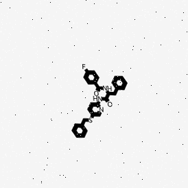 O=C(NC(Cc1ccccc1)C(=O)Nc1ccc(SCc2ccccc2)cn1)c1ccc(F)cc1